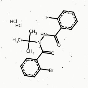 CC(C)(C)N(NC(=O)c1ccccc1F)C(=O)c1ccccc1Br.Cl.Cl